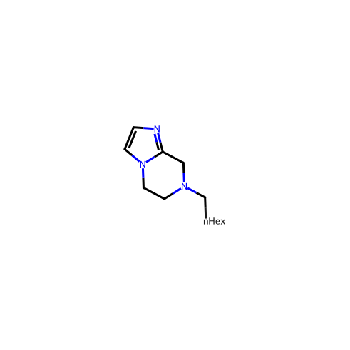 CCCCCCCN1CCn2ccnc2C1